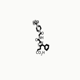 CCCCOC(=O)N1CCN(C(=O)CNC(=O)c2nc(-c3ccccc3)c(CCC(=O)O)s2)CC1